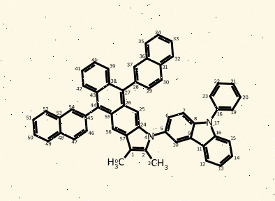 Cc1c(C)n(-c2ccc3c(c2)c2ccccc2n3-c2ccccc2)c2cc3c(-c4ccc5ccccc5c4)c4ccccc4c(-c4ccc5ccccc5c4)c3cc12